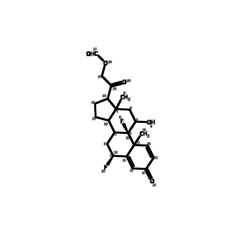 CC12CC(O)[C@@]3(F)C(C[C@H](F)C4=CC(=O)C=CC43C)C1CCC2C(=O)COC=O